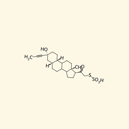 CC#C[C@@]1(O)CC[C@@H]2C3CC[C@@]4(C)C(CC[C@@H]4C(=O)CSS(=O)(=O)O)C3CC[C@@H]2C1